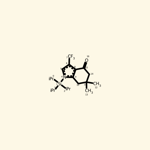 CC(C)[Si](C(C)C)(C(C)C)n1cc(C(F)(F)F)c2c1CC(C)(C)CC2=O